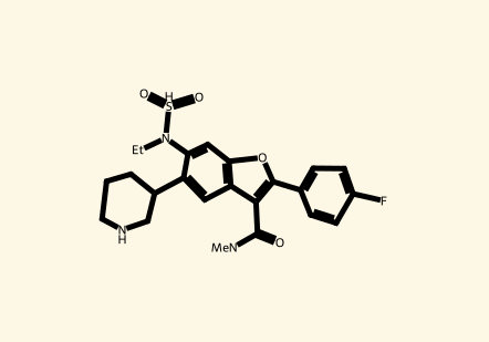 CCN(c1cc2oc(-c3ccc(F)cc3)c(C(=O)NC)c2cc1C1CCCNC1)[SH](=O)=O